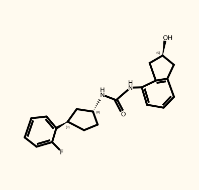 O=C(Nc1cccc2c1C[C@@H](O)C2)N[C@@H]1CC[C@@H](c2ccccc2F)C1